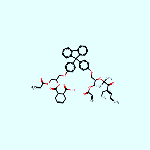 C=C/C=C(\CC)C(=O)C(C)(C)OC(COC(=O)C=C)COc1ccc(C2(c3ccc(OCC(COC(=O)C=C)OC(=O)C4CC=CCC4C(=O)O)cc3)c3ccccc3-c3ccccc32)cc1